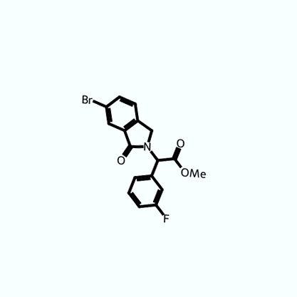 COC(=O)C(c1cccc(F)c1)N1Cc2ccc(Br)cc2C1=O